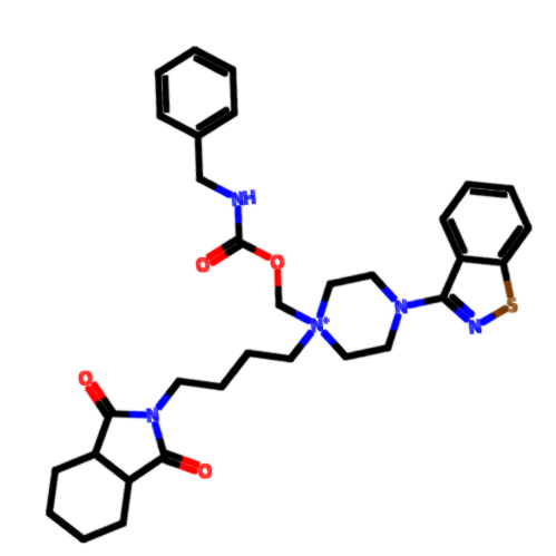 O=C(NCc1ccccc1)OC[N+]1(CCCCN2C(=O)C3CCCCC3C2=O)CCN(c2nsc3ccccc23)CC1